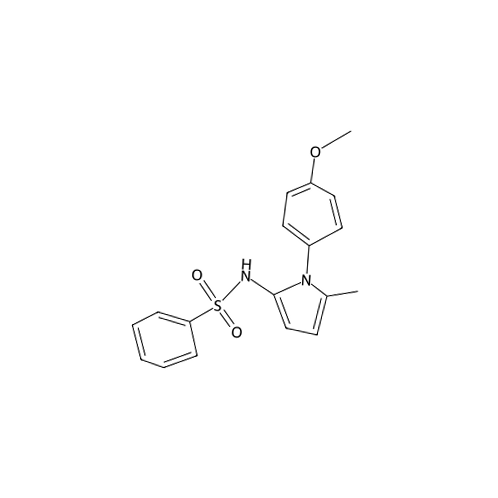 COc1ccc(-n2c(C)ccc2NS(=O)(=O)c2ccccc2)cc1